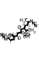 C=C(/C=C\C(=C/C)C(=O)/C=C/C(=O)/C(=C/C=C(\C)N=[N+]=[N-])C(=C)S(=O)(=O)O)N=[N+]=[N-]